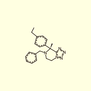 CCc1ccc([C@]2(C)c3nnnn3CCN2Cc2ccccc2)cc1